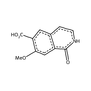 COc1cc2c(=O)[nH]ccc2cc1C(=O)O